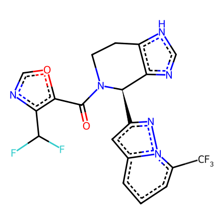 O=C(c1ocnc1C(F)F)N1CCc2[nH]cnc2[C@H]1c1cc2cccc(C(F)(F)F)n2n1